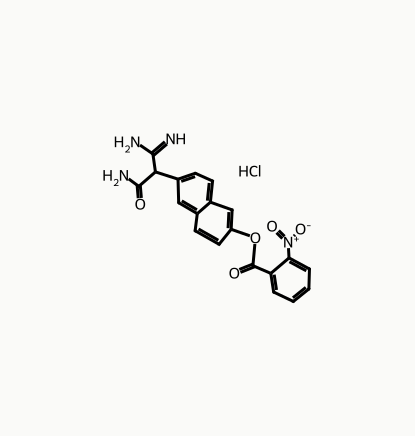 Cl.N=C(N)C(C(N)=O)c1ccc2cc(OC(=O)c3ccccc3[N+](=O)[O-])ccc2c1